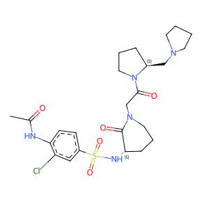 CC(=O)Nc1ccc(S(=O)(=O)N[C@H]2CCCN(CC(=O)N3CCC[C@H]3CN3CCCC3)C2=O)cc1Cl